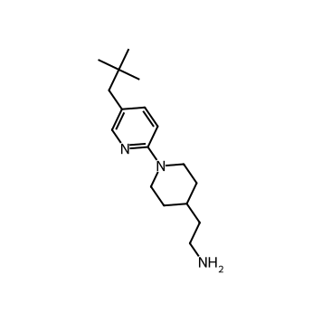 CC(C)(C)Cc1ccc(N2CCC(CCN)CC2)nc1